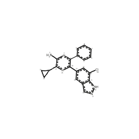 Nc1nc(-c2ccccc2)c(-c2cc(Cl)c3[nH]ncc3c2)nc1C1CC1